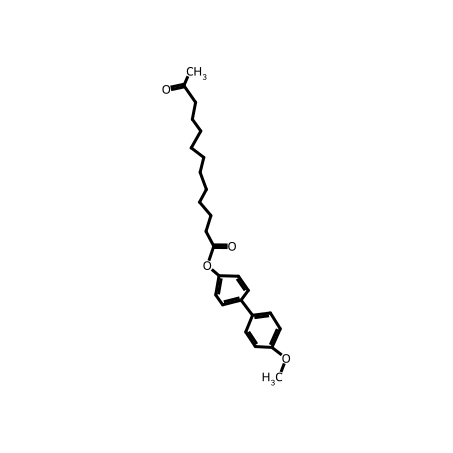 COc1ccc(-c2ccc(OC(=O)CCCCCCCCCCC(C)=O)cc2)cc1